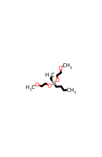 CCCC[Si](CC)(OCCOC)OCCOC